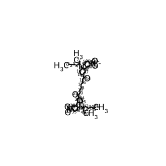 CCCCCC(CC)n1c2ccc(C(=O)CCCCCCC(=O)c3ccc4c(c3)c3cc([N+](=O)[O-])ccc3n4C(CC)CCCCC)cc2c2cc([N+](=O)[O-])ccc21